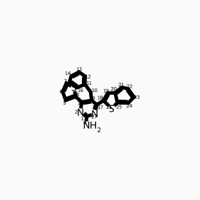 Nc1nc(-c2cccs2)c(Cc2ccccc2)c(-c2cc3ccccc3s2)n1